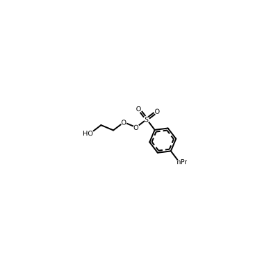 CCCc1ccc(S(=O)(=O)OOCCO)cc1